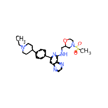 CCN1CCC(c2ccc(-c3cc4nccnc4c(NCC4CN(S(C)(=O)=O)CCO4)n3)cc2)CC1